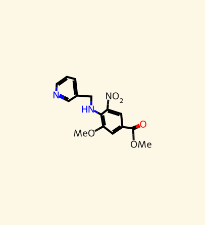 COC(=O)c1cc(OC)c(NCc2cccnc2)c([N+](=O)[O-])c1